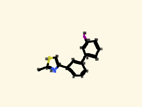 Cc1nc(-c2cccc(-c3cccc(I)c3)c2)cs1